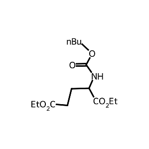 CCCCOC(=O)NC(CCC(=O)OCC)C(=O)OCC